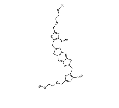 CCOCCOCc1cc(C=O)c(Cc2cc3cc4sc(Cc5sc(COCCOCC)cc5OC)cc4cc3s2)s1